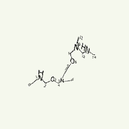 CNCOCN(C)COCN(C)CNC